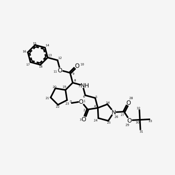 COC(=O)C1(CCNC(C(=O)OCc2ccccc2)C2CCCC2)CCN(C(=O)OC(C)(C)C)C1